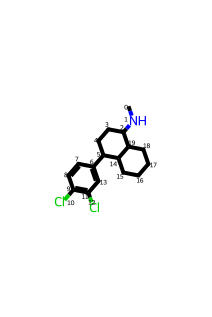 CNC1CCC(c2ccc(Cl)c(Cl)c2)C2CCCCC12